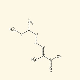 CCC(C)CC/C=C(\C)C(=O)Cl